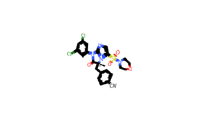 C[C@@]1(Cc2ccc(C#N)cc2)C(=O)N(c2cc(Cl)cc(Cl)c2)c2ncc(S(=O)(=O)N3CCOCC3)n21